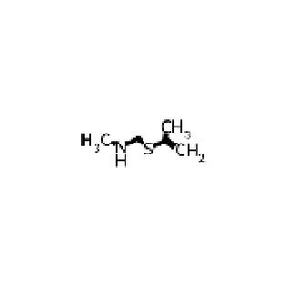 C=C(C)SCNC